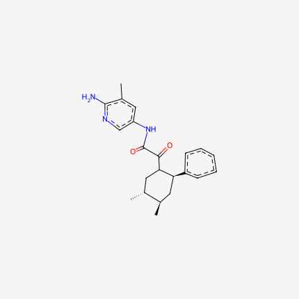 Cc1cc(NC(=O)C(=O)C2C[C@@H](C)[C@H](C)C[C@@H]2c2ccccc2)cnc1N